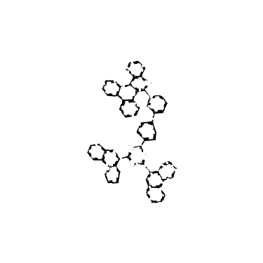 c1cc(-c2ccc(-c3nc(-c4cc5ccccc5c5ccccc45)nc(-c4cc5ccccc5c5ccccc45)n3)cc2)cc(-c2nc3ccccc3c3c4ccccc4c4ccccc4c23)c1